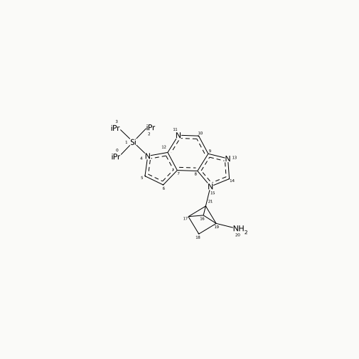 CC(C)[Si](C(C)C)(C(C)C)n1ccc2c3c(cnc21)ncn3C1C2CC1(N)C2